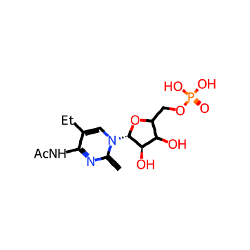 C=C1N=C(NC(C)=O)C(CC)=CN1[C@@H]1OC(COP(=O)(O)O)C(O)[C@H]1O